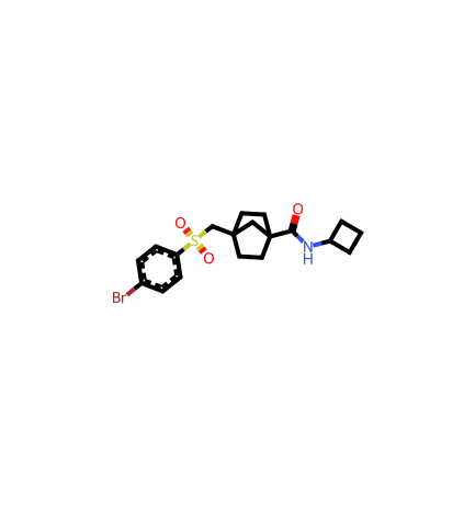 O=C(NC1CCC1)C12CCC(CS(=O)(=O)c3ccc(Br)cc3)(CC1)C2